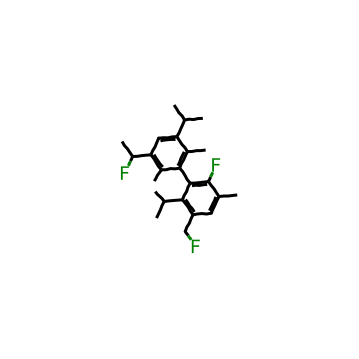 Cc1cc(CF)c(C(C)C)c(-c2c(C)c(C(C)C)cc(C(C)F)c2C)c1F